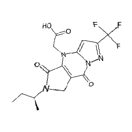 CC[C@H](C)N1Cc2c(n(CC(=O)O)c3cc(C(F)(F)F)nn3c2=O)C1=O